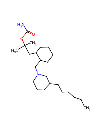 CCCCCCC1CCCN(CC2CCCCC2CC(C)(C)OC(N)=O)C1